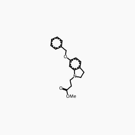 COC(=O)CCN1CCc2ccc(OCc3ccccc3)cc21